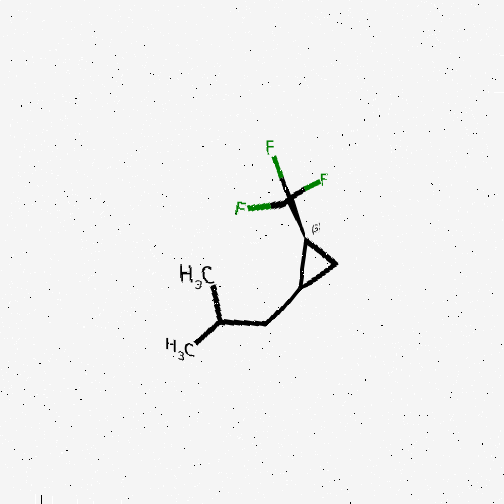 CC(C)CC1C[C@@H]1C(F)(F)F